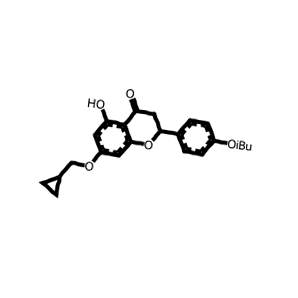 CC(C)COc1ccc(C2CC(=O)c3c(O)cc(OCC4CC4)cc3O2)cc1